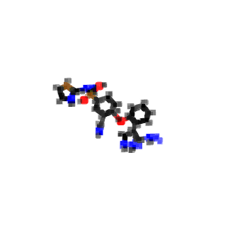 N#Cc1cc(S(=O)(=O)Nc2nccs2)ccc1Oc1ccccc1-c1cn[nH]c1N